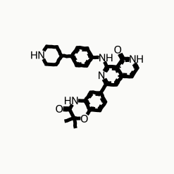 CC1(C)Oc2ccc(-c3cc4cc[nH]c(=O)c4c(Nc4ccc(C5CCNCC5)cc4)n3)cc2NC1=O